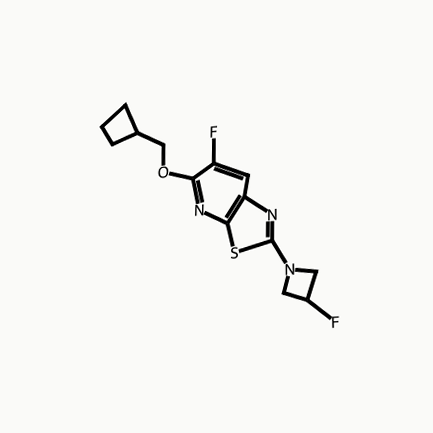 Fc1cc2nc(N3CC(F)C3)sc2nc1OCC1CCC1